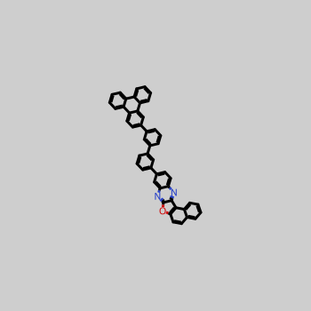 c1cc(-c2cccc(-c3ccc4c5ccccc5c5ccccc5c4c3)c2)cc(-c2ccc3nc4c(nc3c2)oc2ccc3ccccc3c24)c1